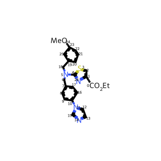 CCOC(=O)c1csc(N(Cc2ccc(-n3ccnc3)cc2)Cc2cccc(OC)c2)n1